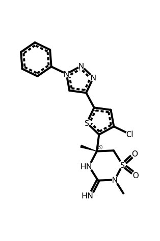 CN1C(=N)N[C@](C)(c2sc(-c3cn(-c4ccccc4)nn3)cc2Cl)CS1(=O)=O